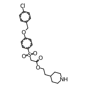 O=C(CS(=O)(=O)c1ccc(OCc2ccc(Cl)cc2)cc1)OCCC1CCNCC1